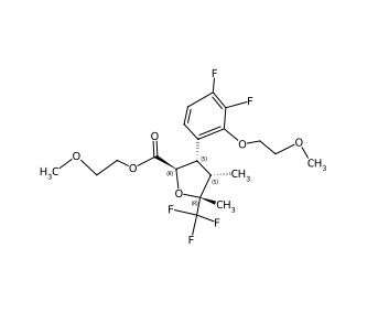 COCCOC(=O)[C@@H]1O[C@@](C)(C(F)(F)F)[C@@H](C)[C@H]1c1ccc(F)c(F)c1OCCOC